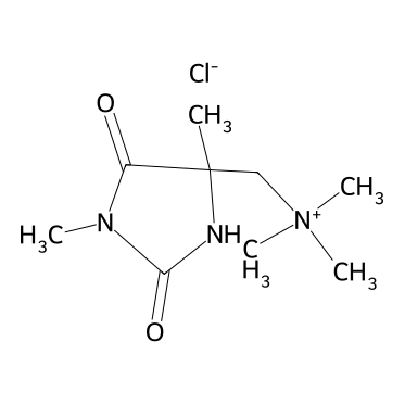 CN1C(=O)NC(C)(C[N+](C)(C)C)C1=O.[Cl-]